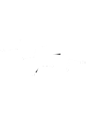 CCCC(=O)OC1CC[C@@H](OC(=O)CCC)O[C@H]1CC